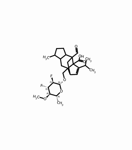 CO[C@H]1[C@H](F)[C@@H](F)[C@H](OCC23CC4C(C)CCC4C4(C=O)CC2C=C(C(C)C)C43C(=O)O)O[C@@H]1C